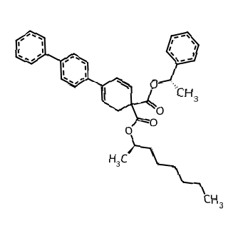 CCCCCC[C@@H](C)OC(=O)C1(C(=O)O[C@@H](C)c2ccccc2)C=CC(c2ccc(-c3ccccc3)cc2)=CC1